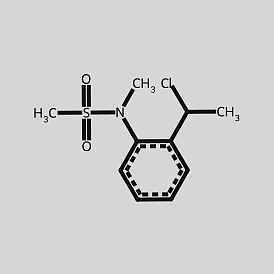 CC(Cl)c1ccccc1N(C)S(C)(=O)=O